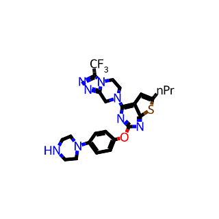 CCCc1cc2c(N3CCn4c(nnc4C(F)(F)F)C3)nc(Oc3ccc(N4CCNCC4)cc3)nc2s1